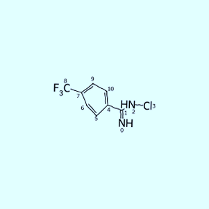 N=C(NCl)c1ccc(C(F)(F)F)cc1